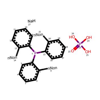 CCCCCCCCCc1ccccc1P(c1ccccc1CCCCCCCCC)c1ccccc1CCCCCCCCC.O=P(O)(O)O.[NaH]